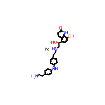 NCCc1ccc(Nc2ccc(CCNC[C@H](O)c3ccc(O)c4[nH]c(=O)ccc34)cc2)cc1.[Pd]